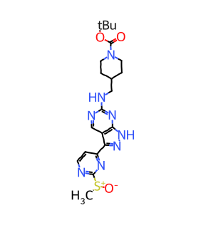 C[S+]([O-])c1nccc(-c2n[nH]c3nc(NCC4CCN(C(=O)OC(C)(C)C)CC4)ncc23)n1